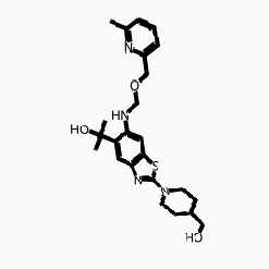 Cc1cccc(COCNc2cc3sc(N4CCC(CO)CC4)nc3cc2C(C)(C)O)n1